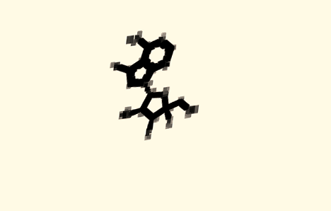 Nc1ncnc2c1c(F)cn2[C@@H]1O[C@](F)(CO)[C@@H](F)[C@H]1O